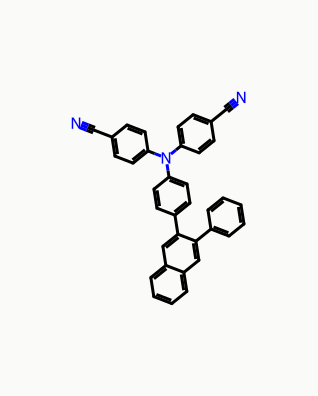 N#Cc1ccc(N(c2ccc(C#N)cc2)c2ccc(-c3cc4ccccc4cc3-c3ccccc3)cc2)cc1